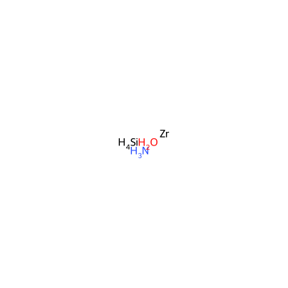 N.O.[SiH4].[Zr]